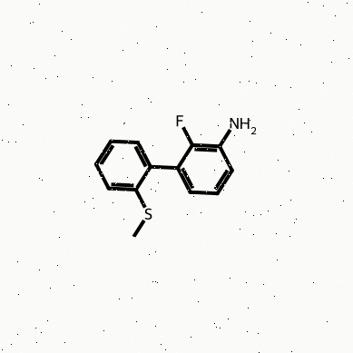 CSc1ccccc1-c1cccc(N)c1F